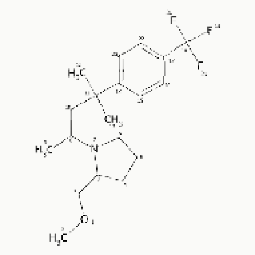 COCC1CCCN1C(C)CC(C)(C)c1ccc(C(F)(F)F)cc1